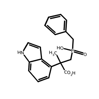 CC(CP(=O)(O)Cc1ccccc1)(C(=O)O)c1cccc2[nH]ccc12